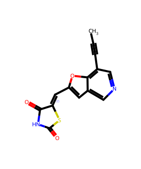 CC#Cc1cncc2cc(/C=C3\SC(=O)NC3=O)oc12